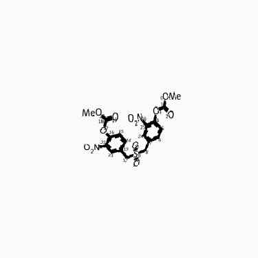 COC(=O)Oc1ccc(CS(=O)(=O)Cc2ccc(OC(=O)OC)c([N+](=O)[O-])c2)cc1[N+](=O)[O-]